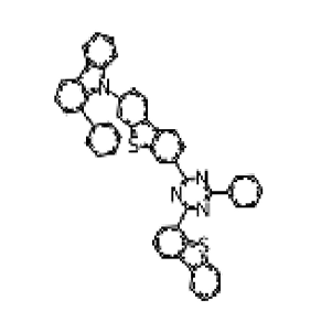 c1ccc(-c2nc(-c3ccc4c(c3)sc3cc(-n5c6ccccc6c6cccc(-c7ccccc7)c65)ccc34)nc(-c3cccc4c3sc3ccccc34)n2)cc1